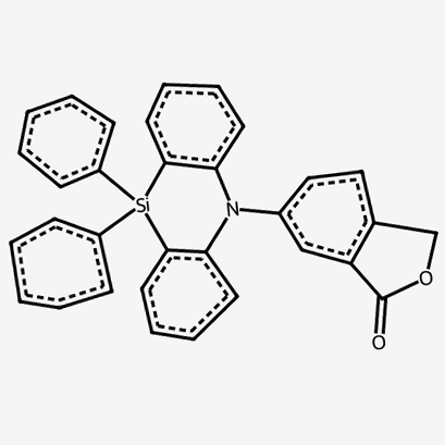 O=C1OCc2ccc(N3c4ccccc4[Si](c4ccccc4)(c4ccccc4)c4ccccc43)cc21